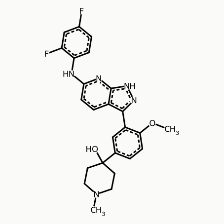 COc1ccc(C2(O)CCN(C)CC2)cc1-c1n[nH]c2nc(Nc3ccc(F)cc3F)ccc12